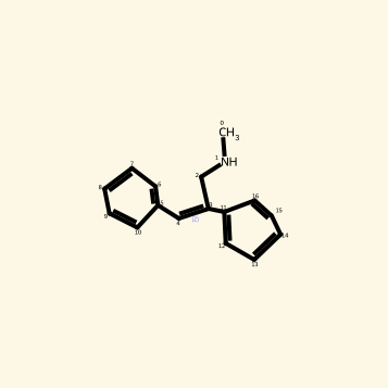 CNC/C(=C\c1ccccc1)c1ccccc1